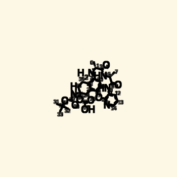 C[C@H](N)C(=O)N[C@@H](C)C(=O)Nc1cccnc1Oc1cccc2c1C[C@](NC(=O)OC(C)(C)C)(OC(=O)O)CC2